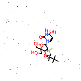 CC(C)(C)[Si](C)(C)OC1[C@@H](F)[C@H](N2C=CC(O)NC2=O)OC1(CO)CO